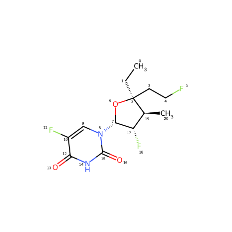 CC[C@@]1(CCF)O[C@@H](n2cc(F)c(=O)[nH]c2=O)[C@@H](F)[C@@H]1C